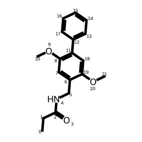 CCC(=O)NCc1cc(OC)c(-c2ccccc2)cc1OC